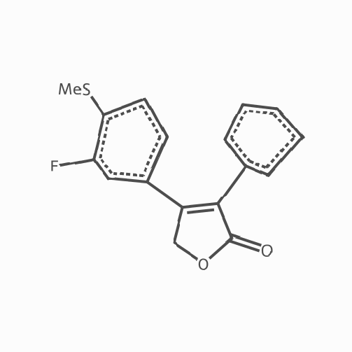 CSc1ccc(C2=C(c3ccccc3)C(=O)OC2)cc1F